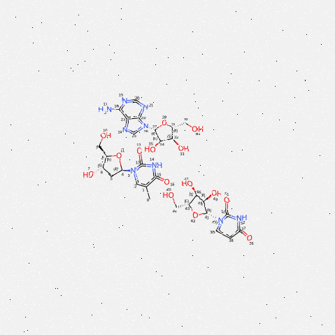 Cc1cn([C@H]2C[C@H](O)[C@@H](CO)O2)c(=O)[nH]c1=O.Nc1ncnc2c1ncn2[C@@H]1O[C@H](CO)[C@@H](O)[C@H]1O.O=c1ccn([C@@H]2O[C@H](CO)[C@@H](O)[C@H]2O)c(=O)[nH]1